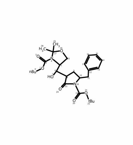 CCCCOC(=O)N1C(C(O)C2CC(Cc3ccccc3)N(C(=O)OC(C)(C)C)C2=O)COC1(C)C